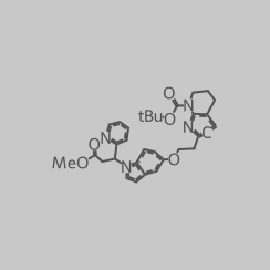 COC(=O)CC(c1ccccn1)n1ccc2cc(OCCc3ccc4c(n3)N(C(=O)OC(C)(C)C)CCC4)ccc21